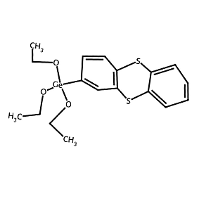 CC[O][Ge]([O]CC)([O]CC)[c]1ccc2c(c1)Sc1ccccc1S2